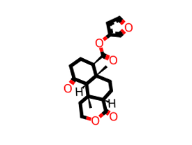 C[C@]12CCOC(=O)[C@@H]1CC[C@]1(C)[C@@H]2C(=O)CC[C@H]1C(=O)Oc1ccoc1